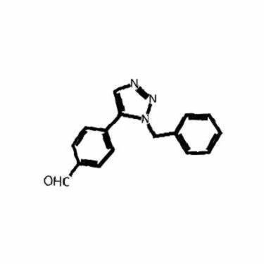 O=Cc1ccc(-c2cnnn2Cc2ccccc2)cc1